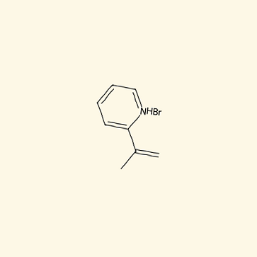 Br.C=C(C)c1ccccn1